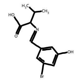 CC(C)C(N=Cc1cc(O)cc(Br)c1)C(=O)O